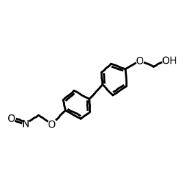 O=NCOc1ccc(-c2ccc(OCO)cc2)cc1